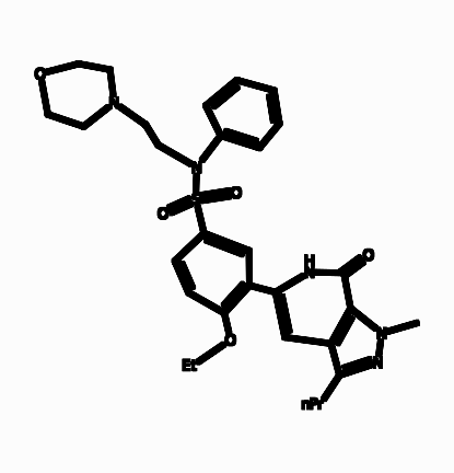 CCCc1nn(C)c2c(=O)[nH]c(-c3cc(S(=O)(=O)N(CCN4CCOCC4)c4ccccc4)ccc3OCC)cc12